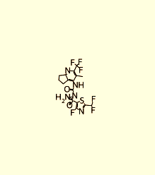 Cc1c(C(F)(F)F)nc2c(c1NC(=O)N=[S@@](N)(=O)c1sc(C(F)F)nc1F)CCC2